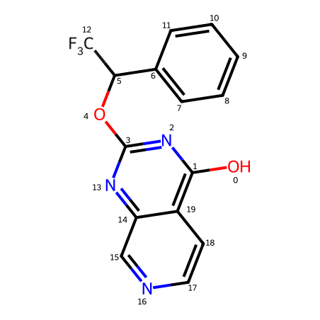 Oc1nc(OC(c2ccccc2)C(F)(F)F)nc2cnccc12